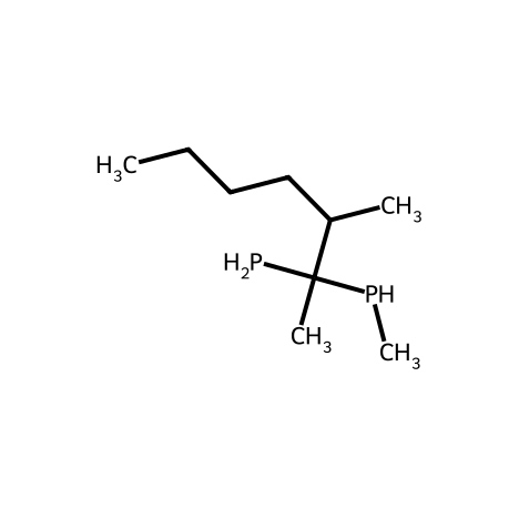 CCCCC(C)C(C)(P)PC